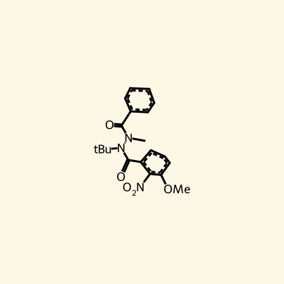 COc1cccc(C(=O)N(N(C)C(=O)c2ccccc2)C(C)(C)C)c1[N+](=O)[O-]